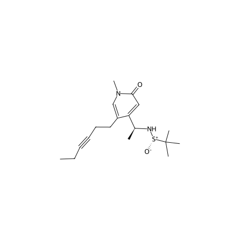 CCC#CCCc1cn(C)c(=O)cc1[C@H](C)N[S@@+]([O-])C(C)(C)C